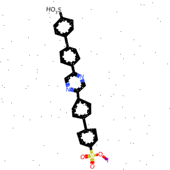 O=S(=O)(O)c1ccc(-c2ccc(-c3cnc(-c4ccc(-c5ccc(S(=O)(=O)OI)cc5)cc4)cn3)cc2)cc1